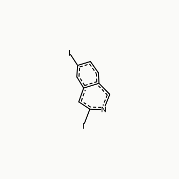 Ic1ccc2cnc(I)cc2c1